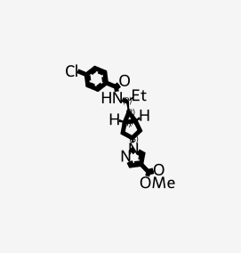 CC[C@@H](NC(=O)c1ccc(Cl)cc1)[C@H]1[C@@H]2C[C@@H](n3cc(C(=O)OC)cn3)C[C@@H]21